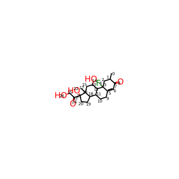 CC1CC2(F)C(=CC1=O)CCC1C2C(O)CC2(C)C1CCC2(O)C(=O)CO